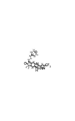 CC1(C)C(=O)N(CCCN2CCOCC2)c2cc3nc(-c4cc(C(F)(F)F)n[nH]4)[nH]c3cc21